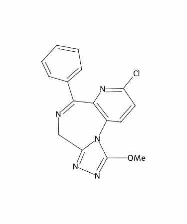 COc1nnc2n1-c1ccc(Cl)nc1C(c1ccccc1)=NC2